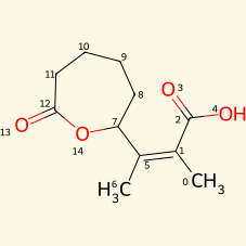 CC(C(=O)O)=C(C)C1CCCCC(=O)O1